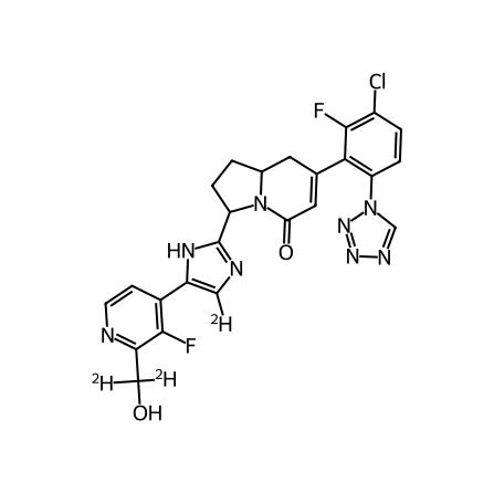 [2H]c1nc(C2CCC3CC(c4c(-n5cnnn5)ccc(Cl)c4F)=CC(=O)N32)[nH]c1-c1ccnc(C([2H])([2H])O)c1F